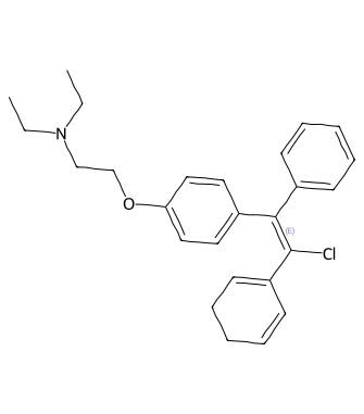 CCN(CC)CCOc1ccc(/C(=C(/Cl)C2=CCCC=C2)c2ccccc2)cc1